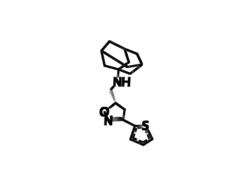 c1csc(C2=NO[C@H](CNC34CC5CC(CC(C5)C3)C4)C2)c1